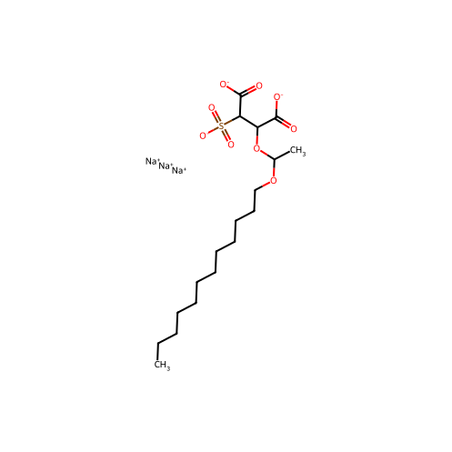 CCCCCCCCCCCCOC(C)OC(C(=O)[O-])C(C(=O)[O-])S(=O)(=O)[O-].[Na+].[Na+].[Na+]